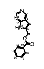 O=C(OCc1cc2cncnc2[nH]1)c1ccccc1